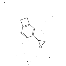 c1cc2c(cc1C1CO1)CC2